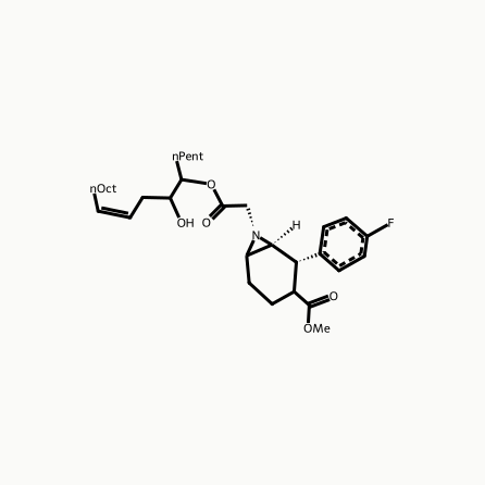 CCCCCCCC/C=C\CC(O)C(CCCCC)OC(=O)C[N@@]1C2CCC(C(=O)OC)[C@@H](c3ccc(F)cc3)[C@@H]21